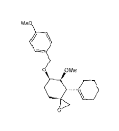 COc1ccc(CO[C@@H]2CC[C@]3(CO3)[C@@H](C3=CCCCC3)[C@@H]2OC)cc1